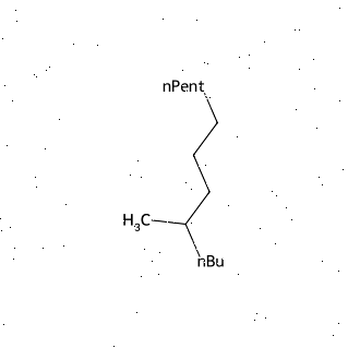 [CH2]CCCCCCCC(C)CCCC